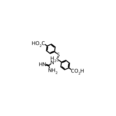 N=C(N)N.O=C(O)c1ccc(SSc2ccc(C(=O)O)cc2)cc1